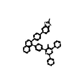 Cc1nc2ccc(-c3ccc(-c4ccc5ccccc5c4-c4ccc(-c5nc(-c6ccccc6)cc(-c6ccccc6)c5C)cc4)cc3)cc2o1